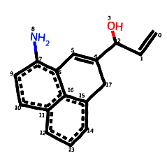 C=CC(O)C1=Cc2c(N)ccc3cccc(c23)C1